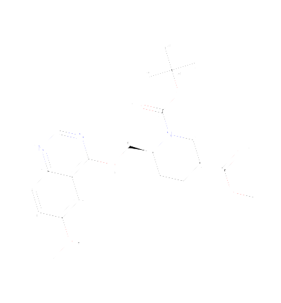 COC(=O)[C@@H]1CC[C@@H](COc2ncnc3ccc(OC)cc23)N(C(=O)OC(C)(C)C)C1